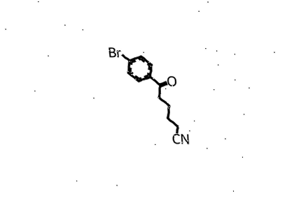 N#CCCCCC(=O)c1ccc(Br)cc1